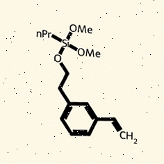 C=Cc1cccc(CCO[Si](CCC)(OC)OC)c1